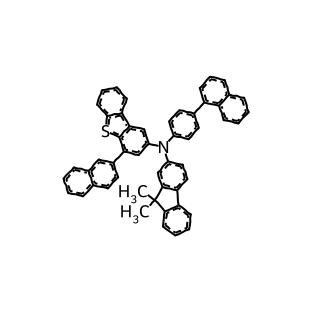 CC1(C)c2ccccc2-c2ccc(N(c3ccc(-c4cccc5ccccc45)cc3)c3cc(-c4ccc5ccccc5c4)c4sc5ccccc5c4c3)cc21